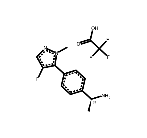 C[C@H](N)c1ccc(-c2c(F)cnn2C)cc1.O=C(O)C(F)(F)F